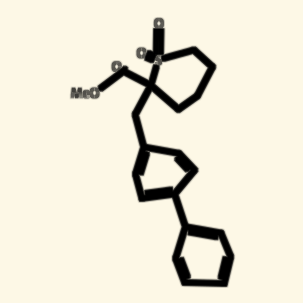 COC(=O)C1(Cc2ccc(-c3ccccc3)cc2)CCCCS1(=O)=O